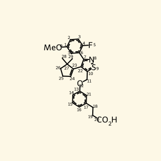 COc1ccc(F)c(-c2nsc(COc3cccc(CCC(=O)O)c3)c2C2=CCCC2(C)C)c1